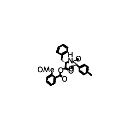 COc1ccccc1C(=O)OC(=O)[C@H](Cc1ccccc1)NS(=O)(=O)c1ccc(C)cc1